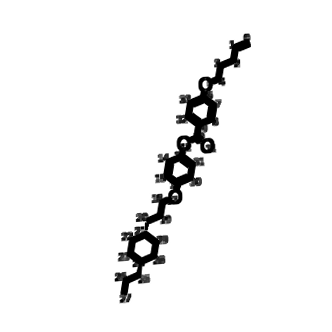 C=CCCCOc1ccc(C(=O)Oc2ccc(OCCC[C@H]3CC[C@H](CCC)CC3)cc2)cc1